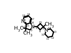 CC1(C)CN(C2CC(C)(N3CCCCC3)C2)c2cccnc21